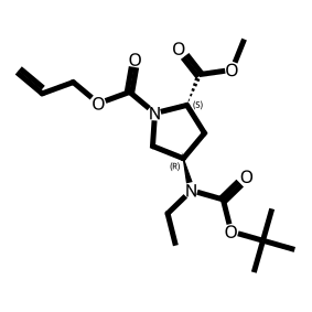 C=CCOC(=O)N1C[C@H](N(CC)C(=O)OC(C)(C)C)C[C@H]1C(=O)OC